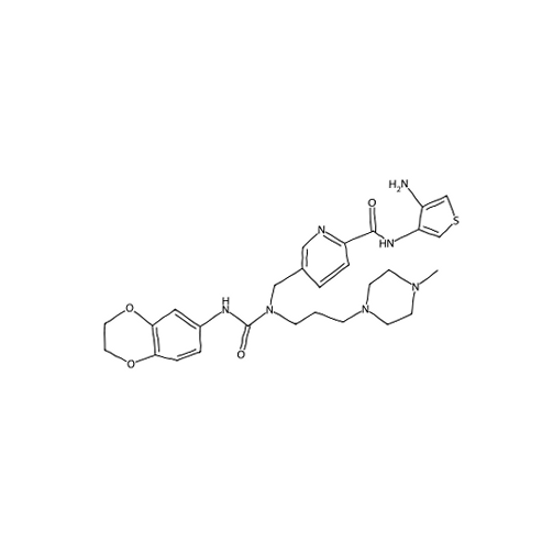 CN1CCN(CCCN(Cc2ccc(C(=O)Nc3cscc3N)nc2)C(=O)Nc2ccc3c(c2)OCCO3)CC1